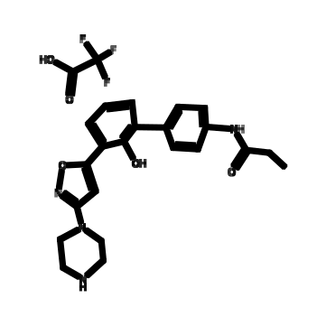 CCC(=O)Nc1ccc(-c2cccc(-c3cc(N4CCNCC4)no3)c2O)cc1.O=C(O)C(F)(F)F